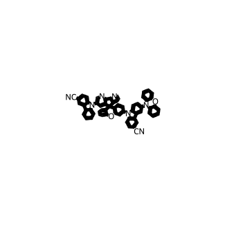 N#Cc1ccc2c(c1)c1ccccc1n2-c1cnc2c(c1)C1(c3ccccc3Oc3cc(-n4c5ccc(C#N)cc5c5cc(N6c7ccccc7Oc7ccccc76)ccc54)ccc31)c1cccnc1-2